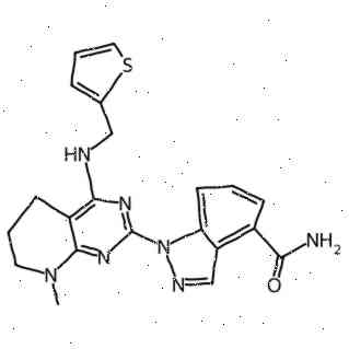 CN1CCCc2c(NCc3cccs3)nc(-n3ncc4c(C(N)=O)cccc43)nc21